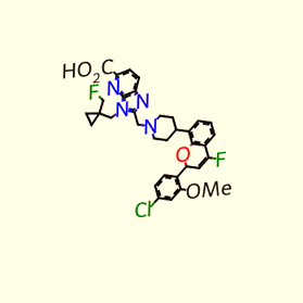 COc1cc(Cl)ccc1C1C=C(F)c2cccc(C3CCN(Cc4nc5ccc(C(=O)O)nc5n4CC4(CF)CC4)CC3)c2O1